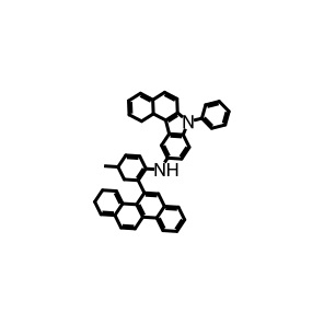 CC1C=CC(Nc2ccc3c(c2)c2c(n3-c3ccccc3)C=CC3=CC=CCC32)=C(c2cc3ccccc3c3ccc4c(c23)=CCCC=4)C1